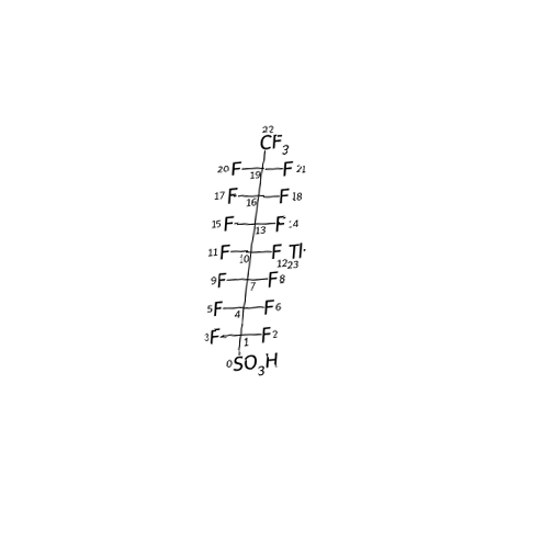 O=S(=O)(O)C(F)(F)C(F)(F)C(F)(F)C(F)(F)C(F)(F)C(F)(F)C(F)(F)C(F)(F)F.[Tl]